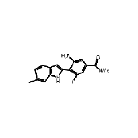 CNC(=O)c1cc(F)c(-c2cc3ccc(C)cc3[nH]2)c(P)c1